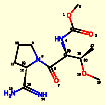 COC(=O)N[C@H](C(=O)N1CCC[C@H]1C(=N)N)[C@@H](C)OC